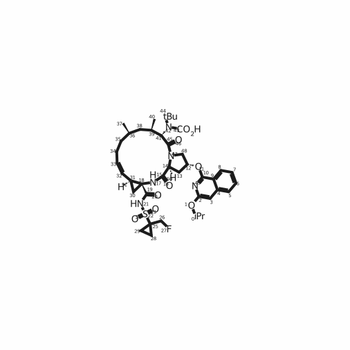 CC(C)Oc1cc2ccccc2c(O[C@@H]2C[C@H]3C(=O)N[C@]4(C(=O)NS(=O)(=O)C5(CF)CC5)C[C@H]4/C=C\CC[C@@H](C)C[C@@H](C)[C@H](N(C(=O)O)C(C)(C)C)C(=O)N3C2)n1